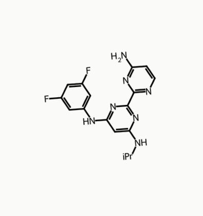 CC(C)Nc1cc(Nc2cc(F)cc(F)c2)nc(-c2nccc(N)n2)n1